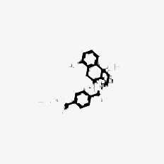 COC(=O)c1ccc(C(=O)N2CC[C@@]3(C)c4cccc(O)c4C[C@@H]2C3(C)C)cc1